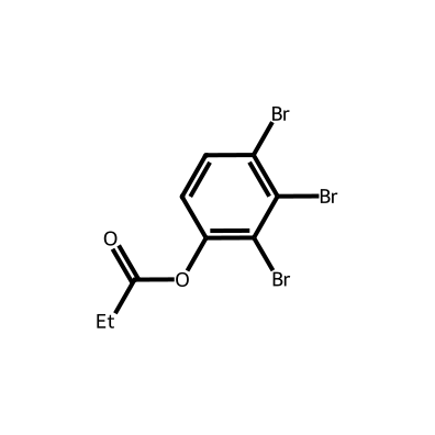 CCC(=O)Oc1ccc(Br)c(Br)c1Br